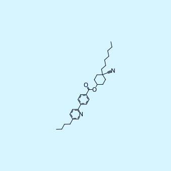 CCCCCCCC1(C#N)CCC(OC(=O)c2ccc(-c3ccc(CCCC)cn3)cc2)CC1